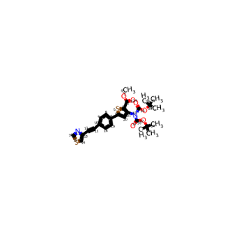 COC(=O)c1sc(-c2ccc(C#Cc3cscn3)cc2)cc1N(C(=O)OC(C)(C)C)C(=O)OC(C)(C)C